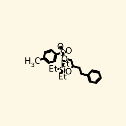 CC[Si](CC)(CC)OC(CCc1ccccc1)COS(=O)(=O)c1ccc(C)cc1